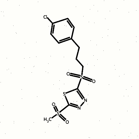 CS(=O)(=O)c1nnc(S(=O)(=O)CCCc2ccc(Cl)cc2)s1